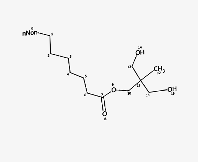 CCCCCCCCCCCCCCCC(=O)OCC(C)(CO)CO